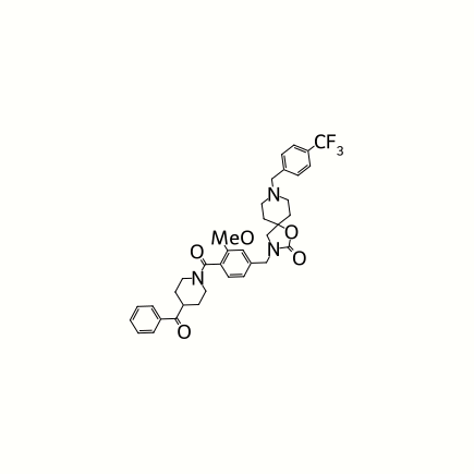 COc1cc(CN2CC3(CCN(Cc4ccc(C(F)(F)F)cc4)CC3)OC2=O)ccc1C(=O)N1CCC(C(=O)c2ccccc2)CC1